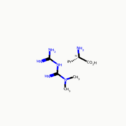 CC(C)[C@H](N)C(=O)O.CN(C)C(=N)NC(=N)N